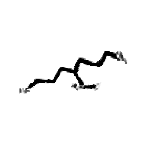 CCCCC(CCCC)[SiH2]Cl